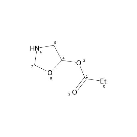 CCC(=O)OC1CNCO1